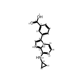 O=C(O)c1cccc(-c2cnc3c(NC4CC4)nccn23)c1